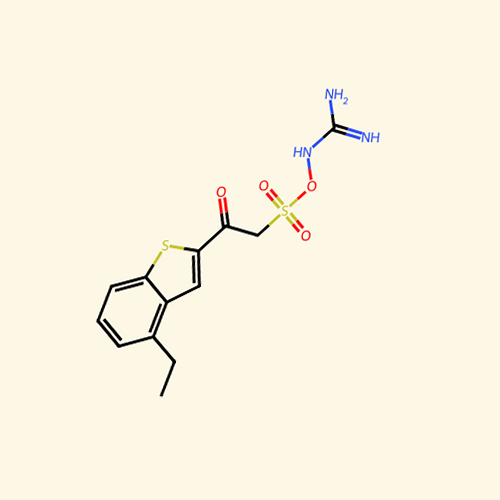 CCc1cccc2sc(C(=O)CS(=O)(=O)ONC(=N)N)cc12